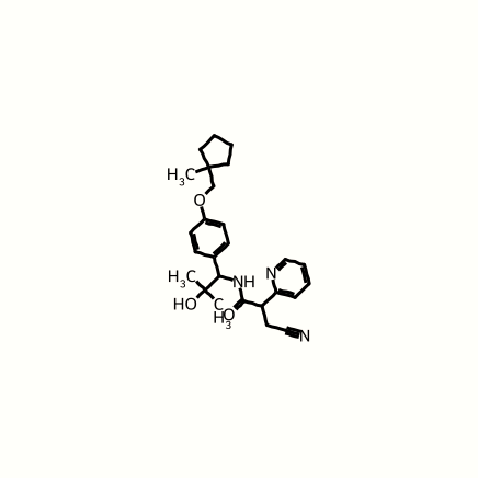 CC1(COc2ccc(C(NC(=O)C(CC#N)c3ccccn3)C(C)(C)O)cc2)CCCC1